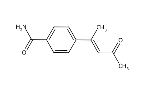 CC(=O)/C=C(\C)c1ccc(C(N)=O)cc1